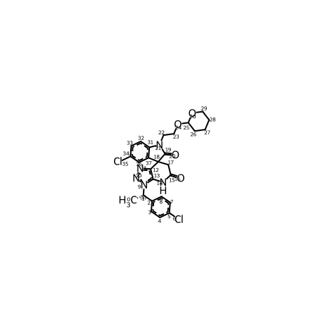 C[C@@H](c1ccc(Cl)cc1)n1nnc2c1NC(=O)CC21C(=O)N(CCOC2CCCCO2)c2ccc(Cl)cc21